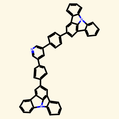 c1ccc2c(c1)c1cc(-c3ccc(-c4cncc(-c5ccc(-c6cc7c8ccccc8n8c9ccccc9c(c6)c78)cc5)c4)cc3)cc3c4ccccc4n2c13